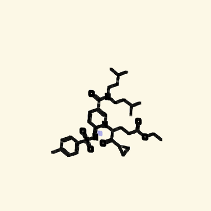 CCOC(=O)CCC(C(=O)C1CC1)n1cc(C(=O)N(CCC(C)C)CCC(C)C)cc/c1=N\S(=O)(=O)c1ccc(C)cc1